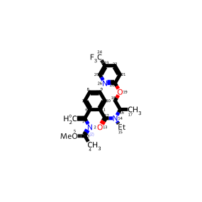 C=C(/N=C(/C)OC)c1ccccc1C(=O)N(CC)C(C)COc1ccc(C(F)(F)F)cn1